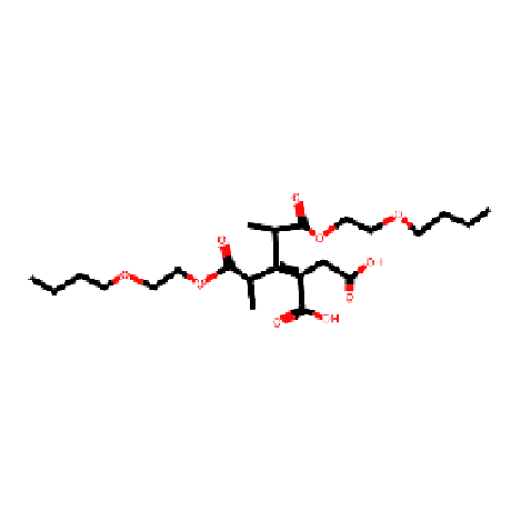 CCCCOCCOC(=O)C(C)C(=C(CC(=O)O)C(=O)O)C(C)C(=O)OCCOCCCC